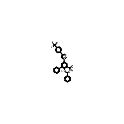 O=C(Nc1c(C(=O)O)cc(-n2cc(-c3ccc(C(F)(F)F)cc3)nn2)cc1-c1ccccc1)c1ccccc1